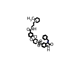 CC1CCCCN1CCCNC(=O)c1ccc(OC2CCN(S(=O)(=O)c3ccc4c(c3)/C(=C\c3ccccc3)C(=O)N4)CC2)c(Cl)c1